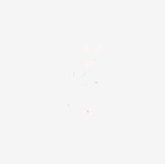 COC(=O)COc1ccc(CCC(=O)C2CCCC2)cc1Cl